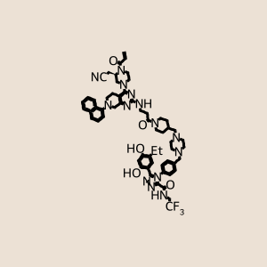 C=CC(=O)N1CCN(c2nc(NCCC(=O)N3CCC(CN4CCN(Cc5ccc(-n6c(C(=O)NCC(F)(F)F)nnc6-c6cc(CC)c(O)cc6O)cc5)CC4)CC3)nc3c2CCN(c2cccc4ccccc24)C3)C[C@H]1CC#N